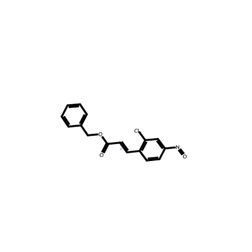 O=Nc1ccc(/C=C/C(=O)OCc2ccccc2)c(Cl)c1